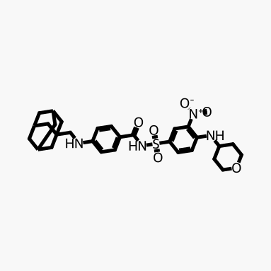 O=C(NS(=O)(=O)c1ccc(NC2CCOCC2)c([N+](=O)[O-])c1)c1ccc(NCC23CC4CC(CC(C4)C2)C3)cc1